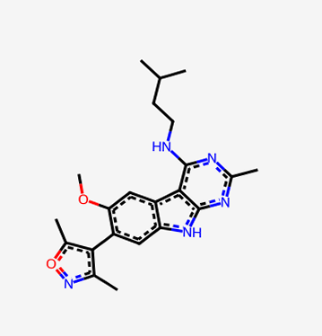 COc1cc2c(cc1-c1c(C)noc1C)[nH]c1nc(C)nc(NCCC(C)C)c12